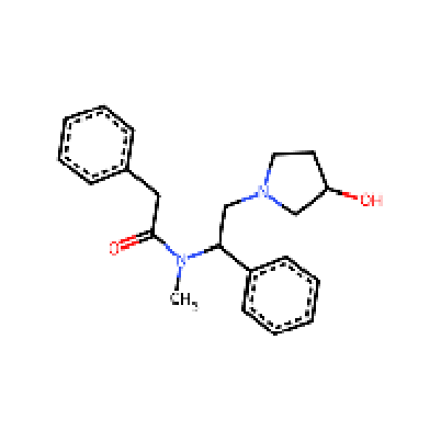 CN(C(=O)Cc1ccccc1)C(CN1CCC(O)C1)c1ccccc1